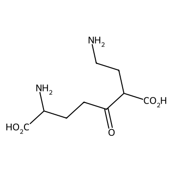 NCCC(C(=O)O)C(=O)CCC(N)C(=O)O